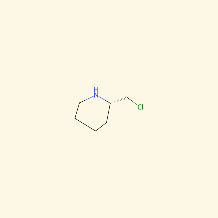 ClC[C@@H]1CCCCN1